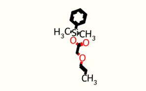 CC=COCC(=O)O[Si](C)(C)c1ccccc1